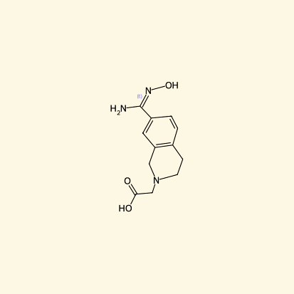 N/C(=N/O)c1ccc2c(c1)CN(CC(=O)O)CC2